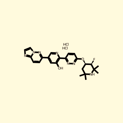 CC1(C)C[C@@H](Oc2ccc(-c3ncc(-c4ccc5nccn5n4)cc3O)nn2)[C@@H](F)C(C)(C)N1.Cl.Cl